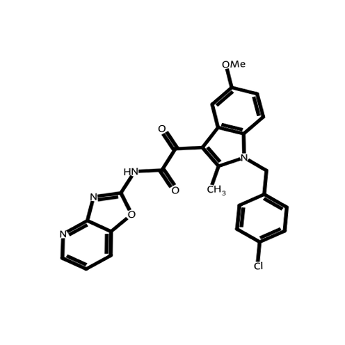 COc1ccc2c(c1)c(C(=O)C(=O)Nc1nc3ncccc3o1)c(C)n2Cc1ccc(Cl)cc1